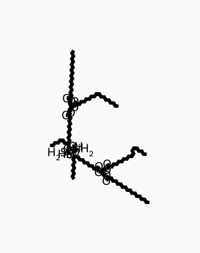 CCCC/C=C\C/C=C\CCCCCCCCC(=O)OCC(COC(=O)CCCCCCCCCCCCCCCCC)OC(=O)CCCCCCCCC(CCCCCCCC)[SiH]1O[SiH2]O[SiH](C(C/C=C\CCCC)CCCCCCCCCC(=O)OCC(COC(=O)CCCCCCCCCCCCCCCCC)OC(=O)CCCCCCC/C=C\CCCCCCCC)O[SiH2]O1